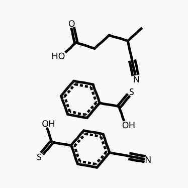 CC(C#N)CCC(=O)O.N#Cc1ccc(C(O)=S)cc1.OC(=S)c1ccccc1